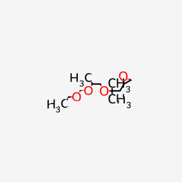 CCOCOC(C)COC(C)(C)CC1CO1